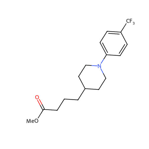 COC(=O)CCCC1CCN(c2ccc(C(F)(F)F)cc2)CC1